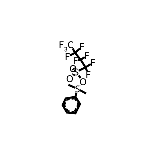 CS(C)(OS(=O)(=O)C(F)(F)C(F)(F)C(F)(F)C(F)(F)F)c1ccccc1